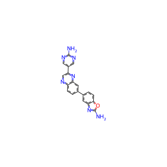 Nc1ncc(-c2cnc3ccc(-c4ccc5oc(N)nc5c4)cc3n2)cn1